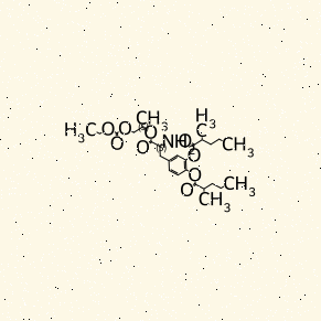 CCCC(C)C(=O)Oc1ccc(C[C@H](N)C(=O)O[C@@H](C)COC(=O)OCC)cc1OC(=O)C(C)CCC